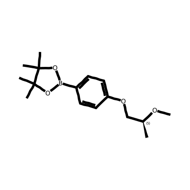 CO[C@@H](C)COc1ccc(B2OC(C)(C)C(C)(C)O2)cc1